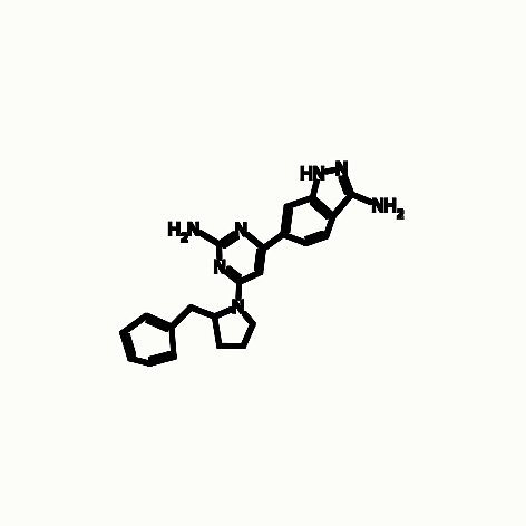 Nc1nc(-c2ccc3c(N)n[nH]c3c2)cc(N2CCCC2Cc2ccccc2)n1